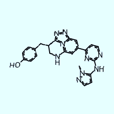 Cn1nccc1Nc1nccc(-c2cc3n4c(nnc4c2)C(Cc2ccc(O)cc2)CN3)n1